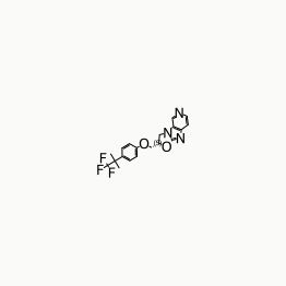 CC(C)(c1ccc(OC[C@@H]2Cn3c(nc4ccncc43)O2)cc1)C(F)(F)F